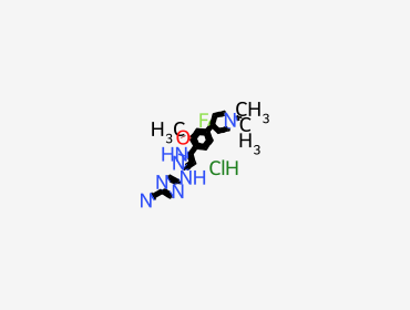 COc1cc(C2(F)CCN(C(C)C)CC2)ccc1-c1cc(Nc2cnc(C#N)cn2)n[nH]1.Cl